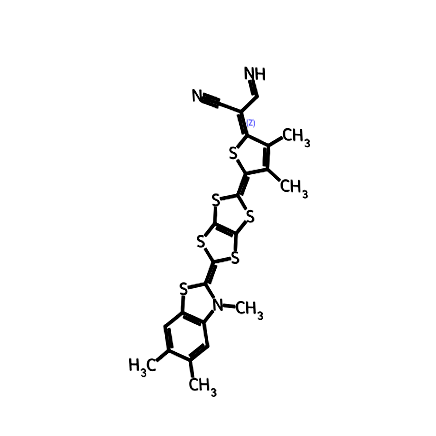 Cc1cc2c(cc1C)N(C)C(=C1SC3=C(S1)SC(=c1s/c(=C(\C#N)C=N)c(C)c1C)S3)S2